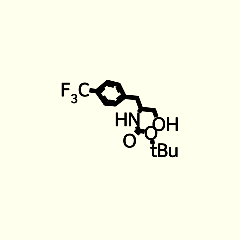 CC(C)(C)OC(=O)NC(CO)Cc1ccc(C(F)(F)F)cc1